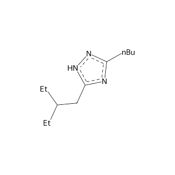 CCCCc1n[nH]c(CC(CC)CC)n1